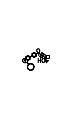 O=C(c1ccc(-c2ccc3c(c2)C(C2CCCCCCCC2)CO3)cc1)N1CCN(C(=O)C2(O)CC2)CC1